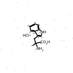 CC(N)(Cc1c[nH]c2ccccc12)C(=O)O.Cl